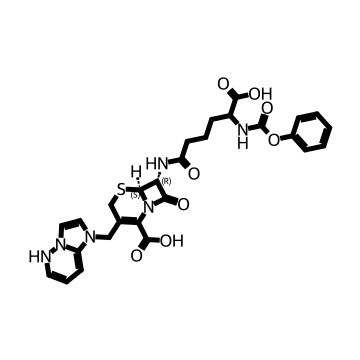 O=C(CCCC(NC(=O)Oc1ccccc1)C(=O)O)N[C@@H]1C(=O)N2C(C(=O)O)=C(CN3C=CN4NC=CC=C34)CS[C@@H]12